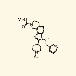 COC(=O)N1CCc2ccc3c(nc(C4CCN(C(C)=O)CC4)n3[C@H](C)Cc3cccnc3)c2C1